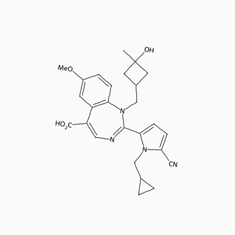 COc1ccc2c(c1)C(C(=O)O)=CN=C(c1ccc(C#N)n1CC1CC1)N2CC1CC(C)(O)C1